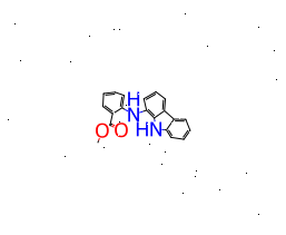 COC(=O)c1ccccc1Nc1cccc2c1[nH]c1ccccc12